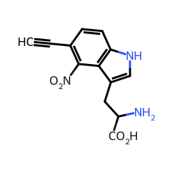 C#Cc1ccc2[nH]cc(CC(N)C(=O)O)c2c1[N+](=O)[O-]